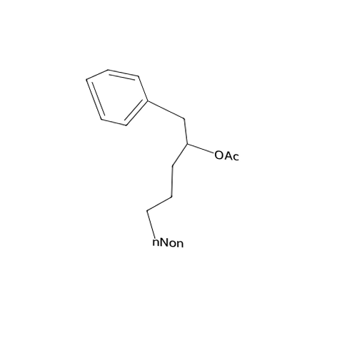 CCCCCCCCCCCCC(Cc1ccccc1)OC(C)=O